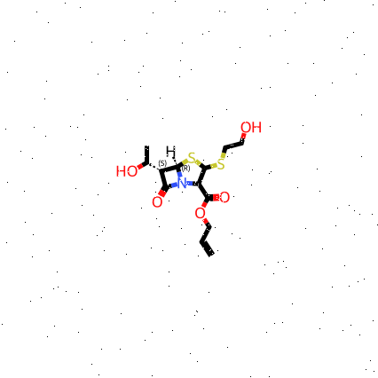 C=CCOC(=O)C1C(SCCO)S[C@@H]2[C@@H](C(C)O)C(=O)N12